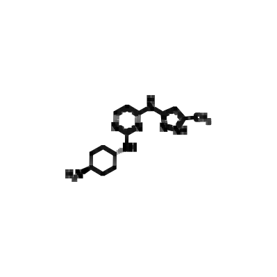 Cc1cc(Nc2ccnc(N[C@H]3CC[C@H](N)CC3)n2)n[nH]1